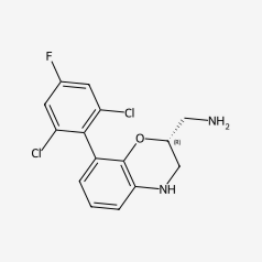 NC[C@@H]1CNc2cccc(-c3c(Cl)cc(F)cc3Cl)c2O1